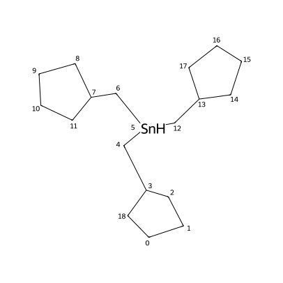 C1CCC([CH2][SnH]([CH2]C2CCCC2)[CH2]C2CCCC2)C1